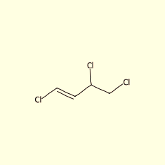 Cl/C=C/C(Cl)CCl